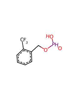 O=[PH](O)OCc1ccccc1C(F)(F)F